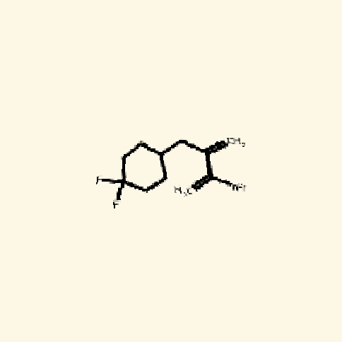 C=C(CCC)C(=C)CC1CCC(F)(F)CC1